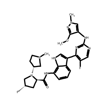 COc1nn(C)cc1Nc1ncc(F)c(-c2c[nH]c3c(NC(=O)[C@H]4C[C@H](F)CN4[C@@H]4CCN(C)C4)cccc23)n1